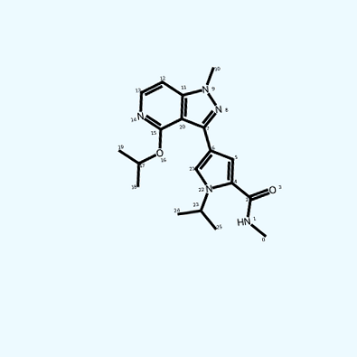 CNC(=O)c1cc(-c2nn(C)c3ccnc(OC(C)C)c23)cn1C(C)C